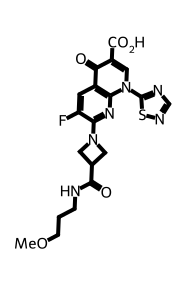 COCCCNC(=O)C1CN(c2nc3c(cc2F)c(=O)c(C(=O)O)cn3-c2ncns2)C1